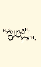 COCC(=O)C(=CNc1ccccc1OC)C(=O)OC